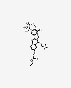 CCOC(=O)COc1ccc2nc3c(c(CC[Si](C)(C)C)c2c1)Cn1c-3cc2c(c1=O)COC(=O)C2(O)CC